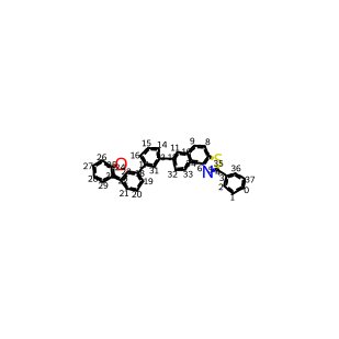 c1ccc(-c2nc3c(ccc4cc(-c5cccc(-c6cccc7c6oc6ccccc67)c5)ccc43)s2)cc1